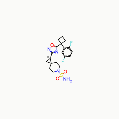 NS(=O)(=O)N1CCC2(CC1)C[C@H]2c1noc(C2(c3cc(F)ccc3F)CCC2)n1